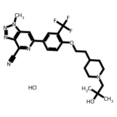 Cl.Cn1nnc2c(C#N)nc(-c3ccc(OCCC4CCN(CC(C)(C)O)CC4)c(C(F)(F)F)c3)cc21